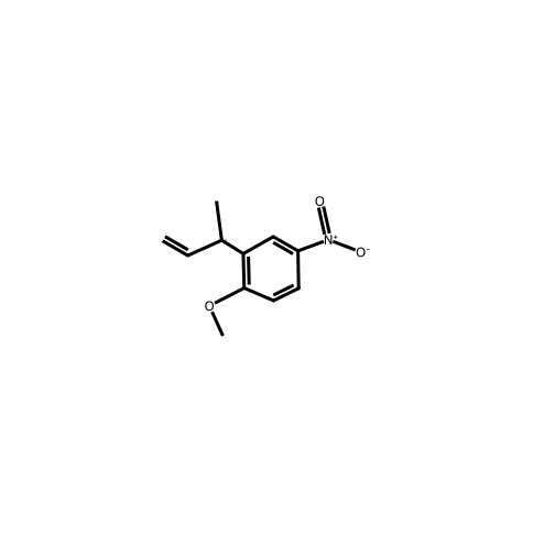 C=C[C](C)c1cc([N+](=O)[O-])ccc1OC